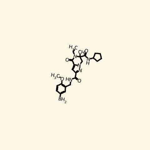 Bc1ccc(OC)c(CNC(=O)c2cc3n(n2)CC(C)(C(=O)NC2CCCC2)N(CC)C3=O)c1